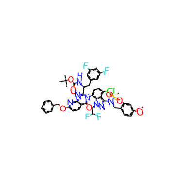 COc1ccc(CN(c2nn(CC(F)F)c3c(-n4c(C(Cc5cc(F)cc(F)c5)NC(=O)OC(C)(C)C)nc5nc(OCc6ccccc6)ccc5c4=O)ccc(Cl)c23)S(C)(=O)=O)cc1